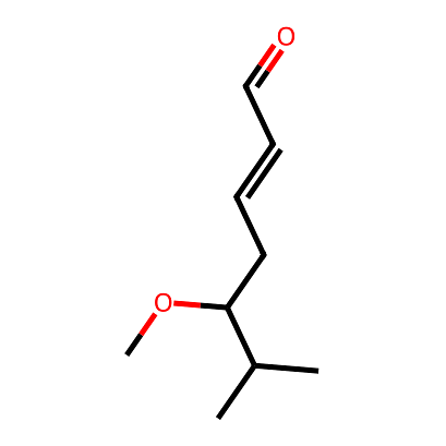 COC(C/C=C/C=O)C(C)C